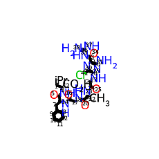 CC(C)CC(NC(=O)C(Cc1ccccc1)NC(=O)CNC(=O)[C@@H](C)NC(=O)CNc1nc(N)c(C(=O)NC(=N)N)nc1Cl)C(=O)O